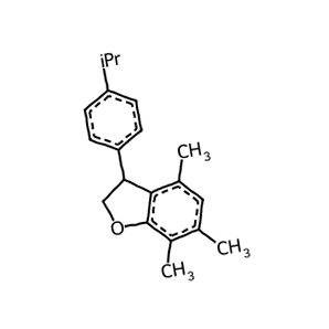 Cc1cc(C)c2c(c1C)OCC2c1ccc(C(C)C)cc1